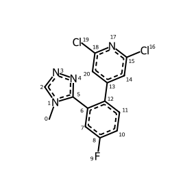 Cn1cnnc1-c1cc(F)ccc1-c1cc(Cl)nc(Cl)c1